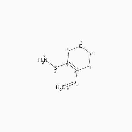 C=CC1=C(SN)COCC1